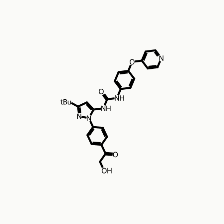 CC(C)(C)c1cc(NC(=O)Nc2ccc(Oc3ccncc3)cc2)n(-c2ccc(C(=O)CO)cc2)n1